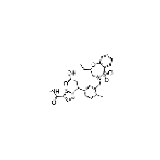 CC[C@@H]1CN(Cc2cc(C(CC(=O)O)c3ccc(C(=O)NC)s3)ccc2C)S(=O)(=O)c2ccccc2O1